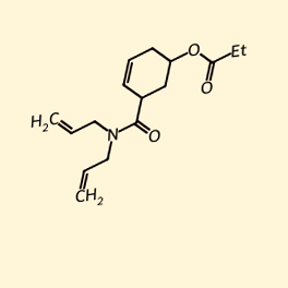 C=CCN(CC=C)C(=O)C1C=CCC(OC(=O)CC)C1